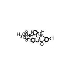 CS(=O)(=O)NC(=O)c1ccc(CN2C(=O)c3ccc(Cl)cc3NC(=O)[C@H]2Cc2cccnc2)cc1